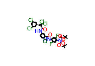 CC(C)(C)OC(=O)N(C(=O)OC(C)(C)C)c1cc(F)c(NC(=O)c2cc(NC(=O)[C@H]3[C@H](c4cc(Cl)cc(Cl)c4)C3(Cl)Cl)ccc2Cl)cc1F